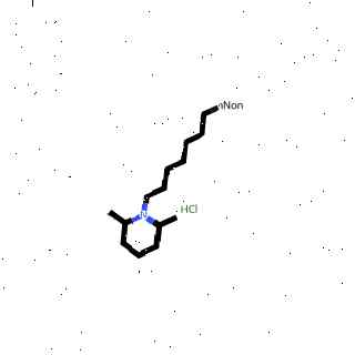 CCCCCCCCCCCCCCCCN1C(C)CCCC1C.Cl